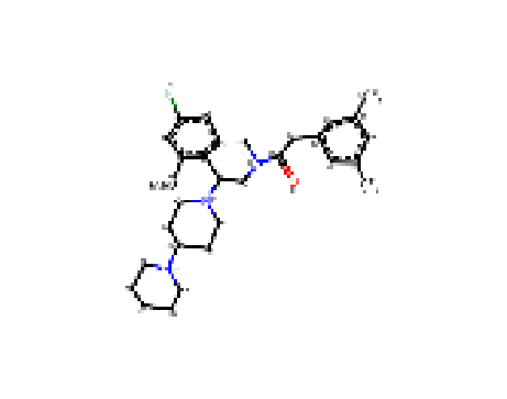 COc1cc(F)ccc1C(CN(C)C(=O)Cc1cc(C(F)(F)F)cc(C(F)(F)F)c1)N1CCC(N2CCCCC2)CC1